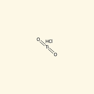 Cl.[O]=[Ti]=[O]